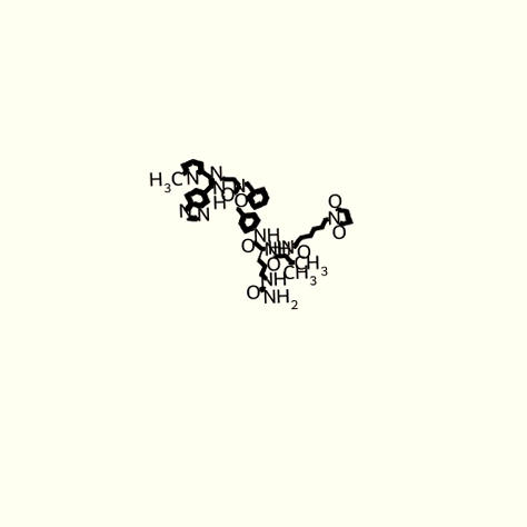 Cc1cccc(-c2nc(CN(Cc3ccccc3)C(=O)OCc3ccc(NC(=O)[C@H](CCCNC(N)=O)NC(=O)C(NC(=O)CCCCCN4C(=O)C=CC4=O)C(C)C)cc3)[nH]c2-c2ccc3nccnc3c2)n1